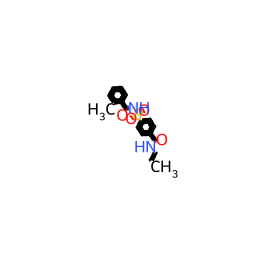 CCCNC(=O)c1ccc(S(=O)(=O)NC(=O)c2ccccc2C)cc1